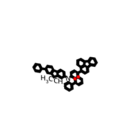 CC1(C)c2cc(-c3ccccc3)ccc2-c2ccc(N(c3ccc(-c4ccc5c6c(cccc46)-c4ccccc4-5)cc3)c3ccccc3-c3ccccc3)cc21